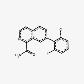 NC(=O)c1n[c]cc2ccc(-c3c(F)cccc3Cl)cc12